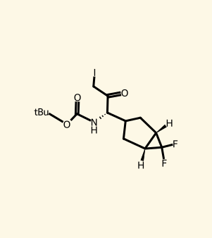 CC(C)(C)OC(=O)N[C@H](C(=O)CI)C1C[C@@H]2[C@H](C1)C2(F)F